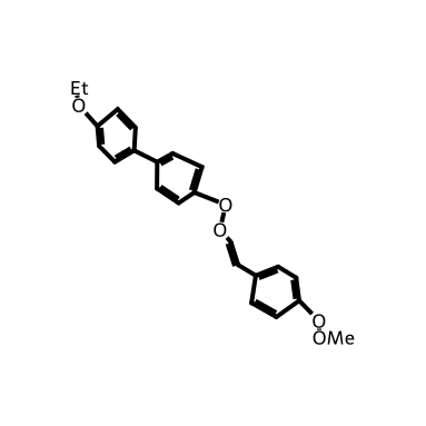 CCOc1ccc(-c2ccc(OO/C=C/c3ccc(OOC)cc3)cc2)cc1